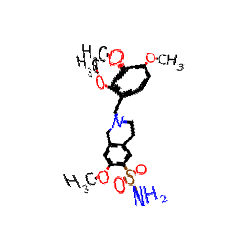 COc1cc2c(cc1S(N)(=O)=O)CCN(Cc1ccc(OC)c(OC)c1OC)C2